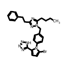 CCCCc1nc(CCc2ccccc2)nn1Cc1ccc(-n2c(Br)ccc2-c2nnn[nH]2)cc1